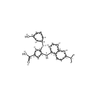 CC(C)c1ccc2c(Nc3cc(C(=O)O)sc3Sc3cccc(O)c3)ncnc2n1